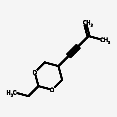 C=C(C)C#CC1COC(CC)OC1